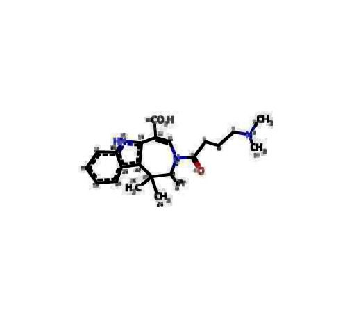 CC(C)C1N(C(=O)CCCN(C)C)C=C(C(=O)O)c2[nH]c3ccccc3c2C1(C)C